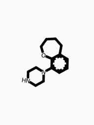 c1cc2c(c(N3CCNCC3)c1)OCCCC2